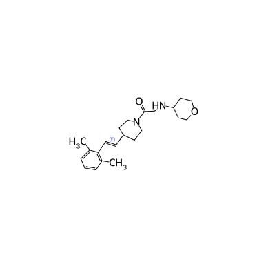 Cc1cccc(C)c1/C=C/C1CCN(C(=O)CNC2CCOCC2)CC1